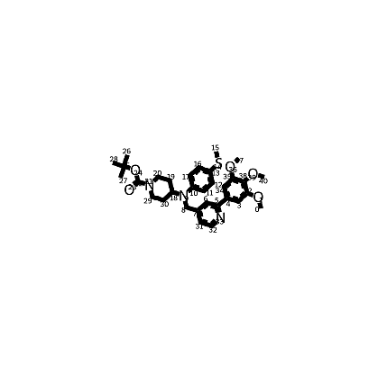 COc1cc(-c2cc(CN(c3ccc(SC)cc3)C3CCN(C(=O)OC(C)(C)C)CC3)ccn2)cc(OC)c1OC